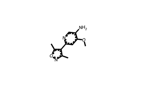 COc1cc(-c2c(C)noc2C)ncc1N